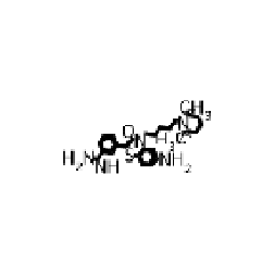 C[C@@H]1CCC[C@H](C)N1CCCCCN1C(=O)C(c2cccc(C(=N)N)c2)Sc2ccc(N)cc21